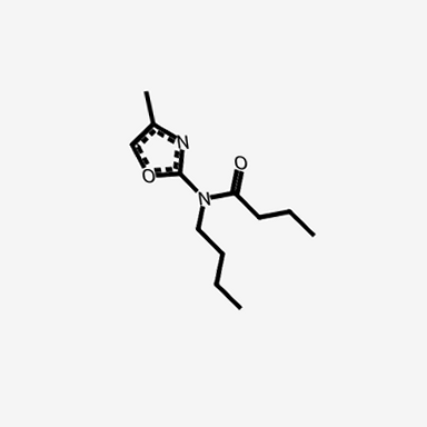 CCCCN(C(=O)CCC)c1nc(C)co1